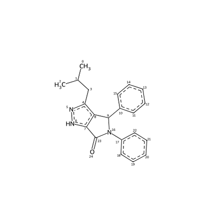 CC(C)Cc1n[nH]c2c1C(c1ccccc1)N(c1ccccc1)C2=O